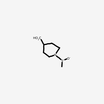 C[S+]([O-])N1CCC(C(=O)O)CC1